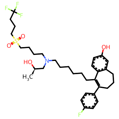 C[C@@H](O)CN(CCCCCCC1=C(c2ccc(F)cc2)CCCc2cc(O)ccc21)CCCCS(=O)(=O)CCCC(F)(F)F